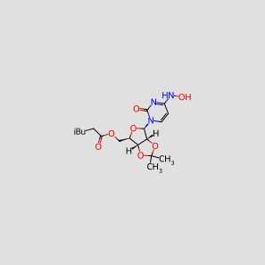 CCC(C)CC(=O)OC[C@H]1O[C@@H](n2ccc(NO)nc2=O)[C@@H]2OC(C)(C)O[C@@H]21